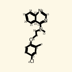 Cc1cc(Cl)ccc1OCCN(C)c1ncnc2ccccc12